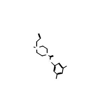 C=CC[N+]1(C)CCN(C(=O)Nc2cc(C)cc(C)c2)CC1.[I-]